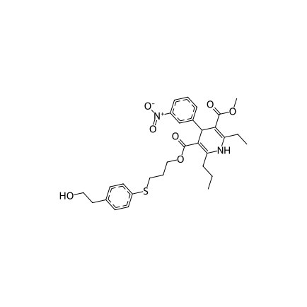 CCCC1=C(C(=O)OCCCSc2ccc(CCO)cc2)C(c2cccc([N+](=O)[O-])c2)C(C(=O)OC)=C(CC)N1